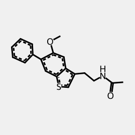 COc1cc2c(CCNC(C)=O)csc2cc1-c1ccccc1